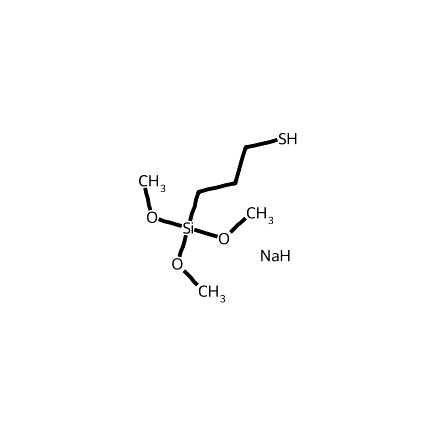 CO[Si](CCCS)(OC)OC.[NaH]